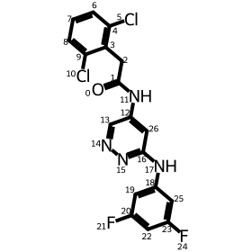 O=C(Cc1c(Cl)cccc1Cl)Nc1cnnc(Nc2cc(F)cc(F)c2)c1